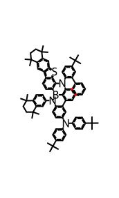 Cc1cc2c3c(c1)N(c1ccc(C(C)(C)C)cc1-c1ccccc1)c1c(ccc4c1sc1cc5c(cc14)C(C)(C)CCC5(C)C)B3N(c1ccc3c(c1)C(C)(C)CCC3(C)C)c1ccc(N(c3ccc(C(C)(C)C)cc3)c3ccc(C(C)(C)C)cc3)cc1-2